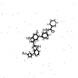 CC(=O)c1ccc(-c2nccc3[nH]c(-c4n[nH]c5cc(F)c(-c6cncc(NC(=O)C7CCCCC7)c6)cc45)nc23)s1